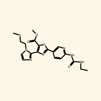 CCNC(=O)Nc1ccc(-c2nc(-c3nccn3CCOC)c(C(=O)OC)s2)cn1